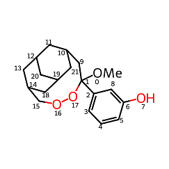 COC1(c2cccc(O)c2)CC2CC3CC(COO1)CC(C3)C2